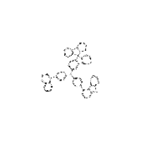 c1ccc(C2(c3ccc(N(c4ccc(-c5cccc6ccccc56)cc4)c4ccc(-c5cccc6oc7ccccc7c56)cc4)cc3)c3ccccc3-c3ccccc32)cc1